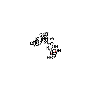 C=CCC1(CC(C)C)C(=O)NC(=O)NC1=O.CC(C)Cc1ccc(C(C)C(=O)O)cc1.CC(CN1c2ccccc2Sc2ccccc21)N(C)C.CC[C@@H](c1cccc(O)c1)[C@@H](C)CN(C)C.O=C1CC[C@@]2(O)[C@H]3Cc4ccc(O)c5c4[C@@]2(CCN3CC2CC2)[C@H]1O5